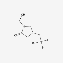 O=C1CC(CC(F)(F)Br)CN1CO